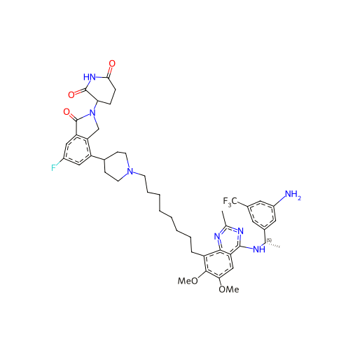 COc1cc2c(N[C@@H](C)c3cc(N)cc(C(F)(F)F)c3)nc(C)nc2c(CCCCCCCCN2CCC(c3cc(F)cc4c3CN(C3CCC(=O)NC3=O)C4=O)CC2)c1OC